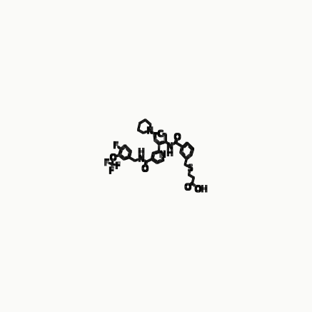 O=C(O)CCSCc1cccc(C(=O)Nc2ccc(N3CCCCC3)cc2-c2cc(C(=O)NCc3ccc(F)c(OC(F)(F)F)c3)ccn2)c1